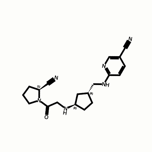 N#Cc1ccc(NC[C@@H]2CC[C@@H](NCC(=O)N3CCC[C@H]3C#N)C2)nc1